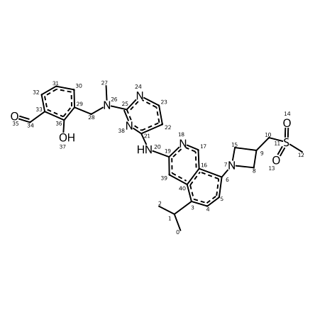 CC(C)c1ccc(N2CC(CS(C)(=O)=O)C2)c2cnc(Nc3ccnc(N(C)Cc4cccc(C=O)c4O)n3)cc12